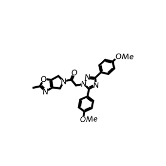 COc1ccc(-c2nc(-c3ccc(OC)cc3)n(CC(=O)N3Cc4nc(C)oc4C3)n2)cc1